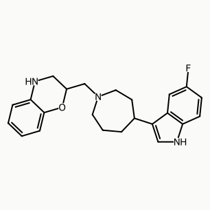 Fc1ccc2[nH]cc(C3CCCN(CC4CNc5ccccc5O4)CC3)c2c1